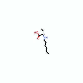 CCCCCCN[C@@H](CC)C(=O)O